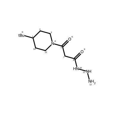 CC(C)(C)C1CCN(C(=O)CC(=O)NNN)CC1